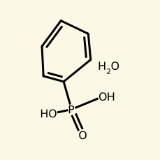 O.O=P(O)(O)c1ccccc1